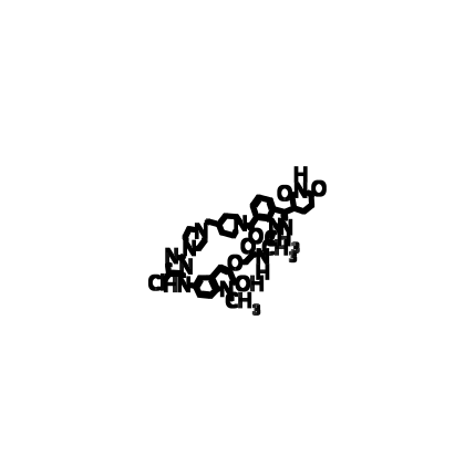 CNC(=O)COC1=Cc2cc(Nc3nc(N4CCN(CC5CCN(C(=O)c6cccc7c(C8CCC(=O)NC8=O)nn(C)c67)CC5)CC4)ncc3Cl)ccc2N(C)C1O